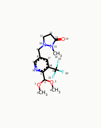 COC(OC)c1ncc(CN2CCC(=O)N2C)cc1C(F)(F)F